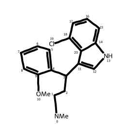 CNCCC(c1ccccc1OC)c1c[nH]c2cccc(Cl)c12